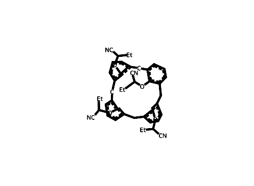 CCC(C#N)Oc1c2cccc1Cc1cccc(c1OC(C#N)CC)Cc1cccc(c1OC(C#N)CC)Cc1cccc(c1OC(C#N)CC)C2